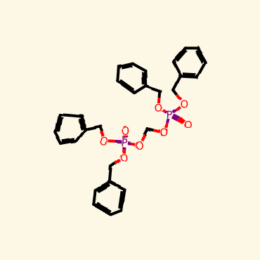 O=P(OCOP(=O)(OCc1ccccc1)OCc1ccccc1)(OCc1ccccc1)OCc1ccccc1